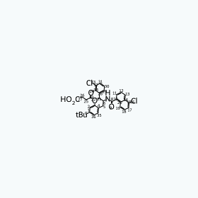 CC(C)(C)c1ccc(CC(NC(=O)c2cccc3c(Cl)cccc23)C(OC(=O)CCC(=O)O)c2cccc(Cl)c2)cc1